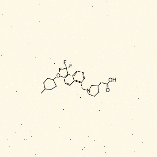 CC1CCC(Oc2ccc3c(CN4CCC[C@H](CC(=O)O)C4)cccc3c2C(F)(F)F)CC1